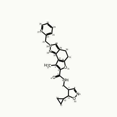 Cc1c(C(=O)NCC2C=NOC2C2CC2)oc2c1-c1nn(Cc3ccccn3)cc1CC2